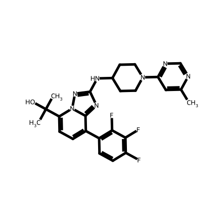 Cc1cc(N2CCC(Nc3nc4c(-c5ccc(F)c(F)c5F)ccc(C(C)(C)O)n4n3)CC2)ncn1